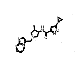 CC1CN(Cc2cnc3ncccn23)CC1NC(=O)c1cc(C2CC2)on1